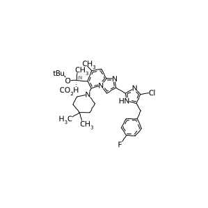 Cc1cc2nc(-c3nc(Cl)c(Cc4ccc(F)cc4)[nH]3)cn2c(N2CCC(C)(C)CC2)c1[C@](C)(OC(C)(C)C)C(=O)O